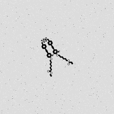 C=COC(=O)CCCCCCOc1ccc(C#Cc2ccc(C[Si](C)(C)O[Si](C)(C)Cc3ccc(C#Cc4ccc(OCCCCCCOC(=O)C=C)c(F)c4)cc3)cc2)cc1F